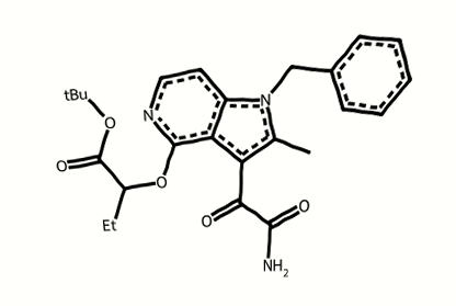 CCC(Oc1nccc2c1c(C(=O)C(N)=O)c(C)n2Cc1ccccc1)C(=O)OC(C)(C)C